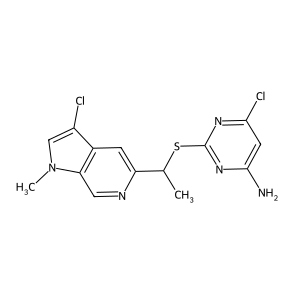 CC(Sc1nc(N)cc(Cl)n1)c1cc2c(Cl)cn(C)c2cn1